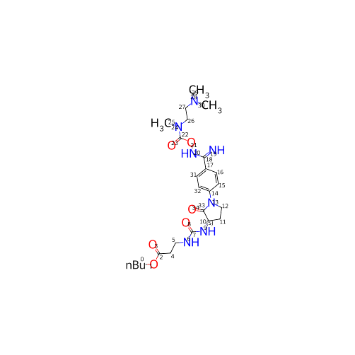 CCCCOC(=O)CCNC(=O)N[C@H]1CCN(c2ccc(C(=N)NOC(=O)N(C)CCN(C)C)cc2)C1=O